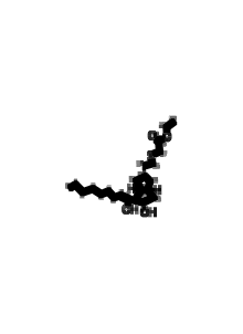 CCCCCCCC=C(O)[C@H]1[C@@H]2C[C@H](CCSCC(=O)OCC)C[C@@H]2C[C@@H]1O